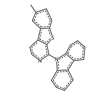 Cc1ccc2sc3c(-n4c5ccccc5c5ccccc54)nccc3c2c1